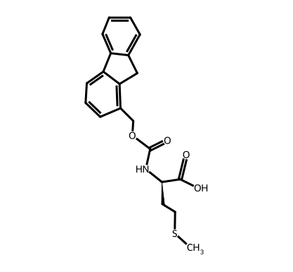 CSCC[C@@H](NC(=O)OCc1cccc2c1Cc1ccccc1-2)C(=O)O